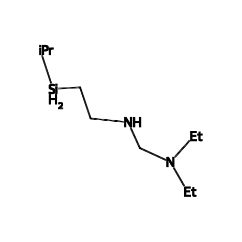 CCN(CC)CNCC[SiH2]C(C)C